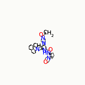 C=CC(=O)N1CCN(c2cc(C(=O)N[C@H]3CCC[C@@H]3N3CCOCC3)nc3c2CCN(c2cccc4cccc(C)c24)C3)CC1